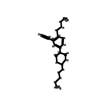 CCCCCC1COC(c2ccc(CCCC)c(C#N)c2)OC1